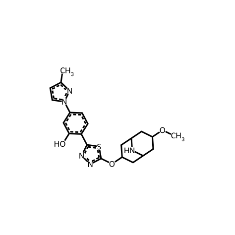 COC1CC2CC(Oc3nnc(-c4ccc(-n5ccc(C)n5)cc4O)s3)CC(C1)N2